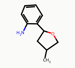 CC1COC(c2ccccc2N)C1